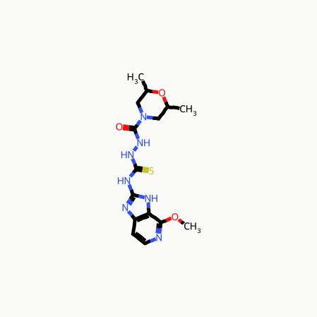 COc1nccc2nc(NC(=S)NNC(=O)N3CC(C)OC(C)C3)[nH]c12